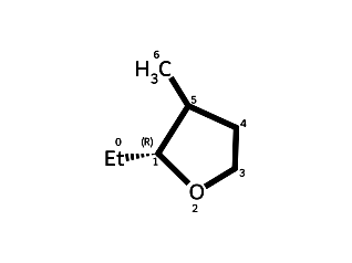 CC[C@H]1OCCC1C